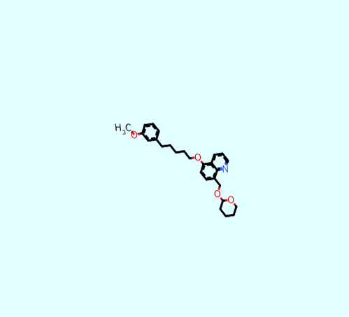 COc1cccc(CCCCCOc2ccc(COC3CCCCO3)c3ncccc23)c1